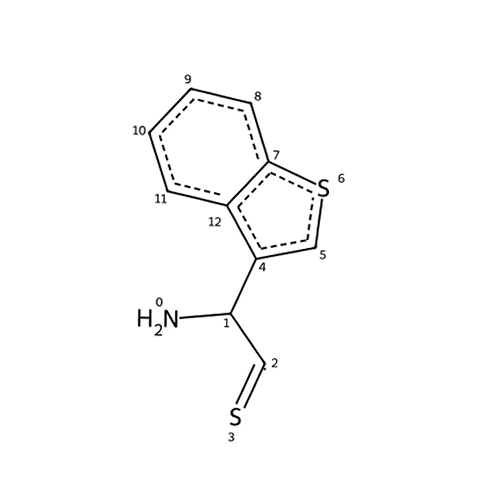 NC([C]=S)c1csc2ccccc12